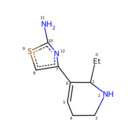 CCC1NCCC=C1c1csc(N)n1